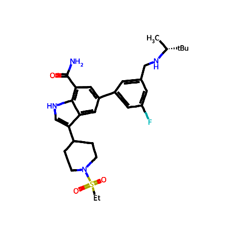 CCS(=O)(=O)N1CCC(c2c[nH]c3c(C(N)=O)cc(-c4cc(F)cc(CN[C@H](C)C(C)(C)C)c4)cc23)CC1